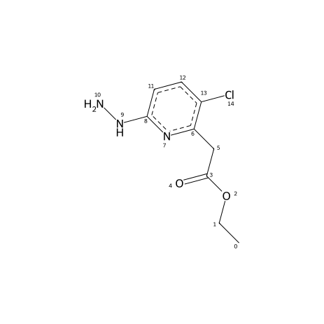 CCOC(=O)Cc1nc(NN)ccc1Cl